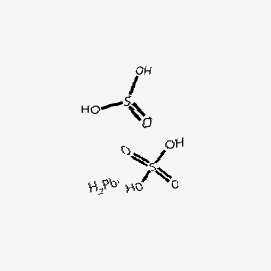 O=S(=O)(O)O.O=S(O)O.[PbH2]